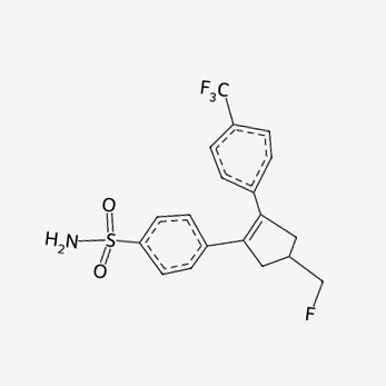 NS(=O)(=O)c1ccc(C2=C(c3ccc(C(F)(F)F)cc3)CC(CF)C2)cc1